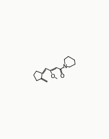 C=C1CCC/C1=C/C(=C/C(=O)N1CCCCC1)OC